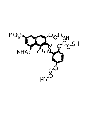 CC(=O)Nc1cc(S(=O)(=O)O)cc2cc(OOOS)c(N=Nc3cc(OOOS)ccc3OOOS)c(O)c12